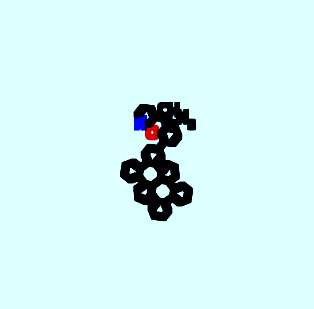 CC1(C)c2cccnc2Oc2c(-c3ccc4c(c3)c3cccc5c3-c3c(cccc3c3ccccc34)c3ccccc3c3ccccc53)cccc21